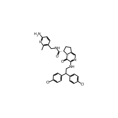 Cc1nc(N)ccc1CNC(=O)[C@@H]1CCc2cnc(NCC(c3ccc(Cl)cc3)c3ccc(Cl)cc3)c(=O)n21